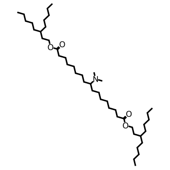 CCCCCC(CCCCC)CCOC(=O)CCCCCCCC(CCCCCCCC(=O)OCCC(CCCCC)CCCCC)N(C)C